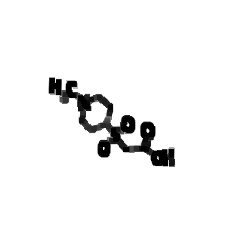 CN1CCC(S(=O)(=O)CC(=O)O)CC1